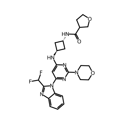 O=C(N[C@H]1C[C@H](Nc2cc(-n3c(C(F)F)nc4ccccc43)nc(N3CCOCC3)n2)C1)C1CCOC1